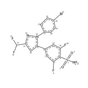 NS(=O)(=O)c1c(F)cc(-c2cc(C(F)F)nn2-c2ccc(Br)cc2)cc1F